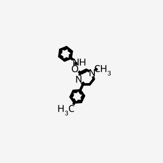 Cc1ccc(C2=NC(ONc3ccccc3)=CN(C)CC2)cc1